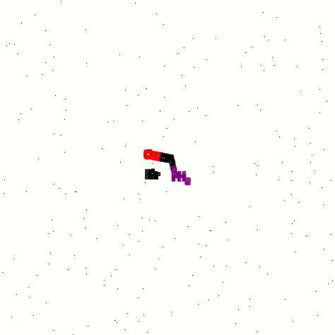 O=CP.[Rh]